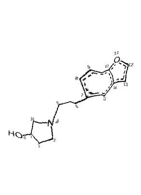 OC1CCN(CCc2ccc3occc3c2)C1